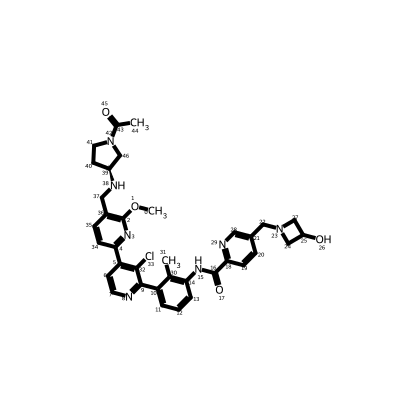 COc1nc(-c2ccnc(-c3cccc(NC(=O)c4ccc(CN5CC(O)C5)cn4)c3C)c2Cl)ccc1CN[C@H]1CCN(C(C)=O)C1